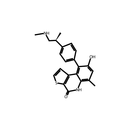 CNC[C@@H](C)c1ccc(-c2c(O)cc(C)c3[nH]c(=O)c4sccc4c23)cc1